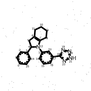 c1ccc(C2CC3=C(CCCC3)N2c2cccc(-c3nn[nH]n3)c2)cc1